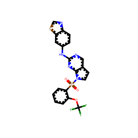 O=S(=O)(c1ccccc1OC(F)(F)F)n1ccc2cnc(Nc3ccc4ncsc4c3)nc21